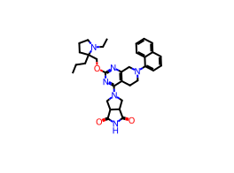 CCCC1(COc2nc3c(c(N4CC5C(=O)NC(=O)C5C4)n2)CCN(c2cccc4ccccc24)C3)CCCN1CC